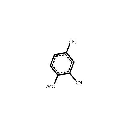 CC(=O)Oc1ccc(C(F)(F)F)cc1C#N